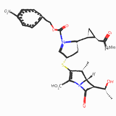 CNC(=O)[C@@H]1C[C@H]1[C@@H]1C[C@H](SC2=C(C(=O)O)N3C(=O)[C@H]([C@@H](C)O)[C@H]3[C@H]2C)CN1C(=O)OCc1ccc([N+](=O)[O-])cc1